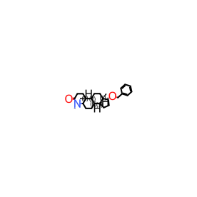 CN1C(=O)CC[C@@]2(C)C1CC[C@@H]1[C@H]2CC[C@]2(C)C(OCc3ccccc3)CC[C@@H]12